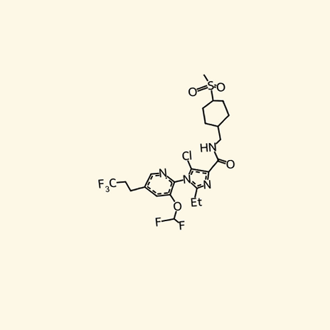 CCc1nc(C(=O)NCC2CCC(S(C)(=O)=O)CC2)c(Cl)n1-c1ncc(CCC(F)(F)F)cc1OC(F)F